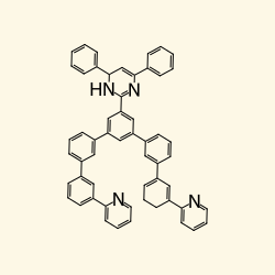 C1=C(c2cccc(-c3cc(C4=NC(c5ccccc5)=CC(c5ccccc5)N4)cc(-c4cccc(-c5cccc(-c6ccccn6)c5)c4)c3)c2)C=C(c2ccccn2)CC1